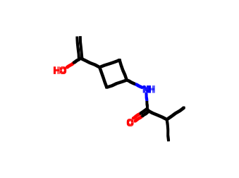 C=C(O)C1CC(NC(=O)C(C)C)C1